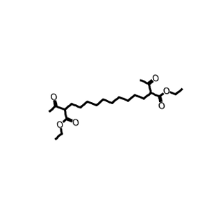 CCOC(=O)C(CCCCCCCCCCC(C(C)=O)C(=O)OCC)C(C)=O